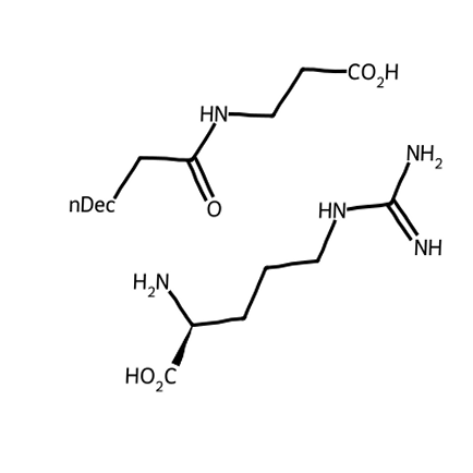 CCCCCCCCCCCC(=O)NCCC(=O)O.N=C(N)NCCC[C@H](N)C(=O)O